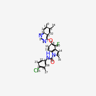 Cc1cc2ncnc(Oc3ccc4c(cc(C)n4C(=O)Nc4ccc(Cl)c(C)c4)c3F)c2cc1C